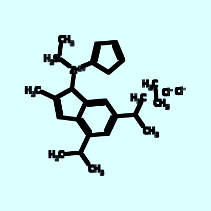 CC.C[SiH2][Zr+2]([C]1=CC=CC1)[CH]1C(C)=Cc2c(C(C)C)cc(C(C)C)cc21.[Cl-].[Cl-]